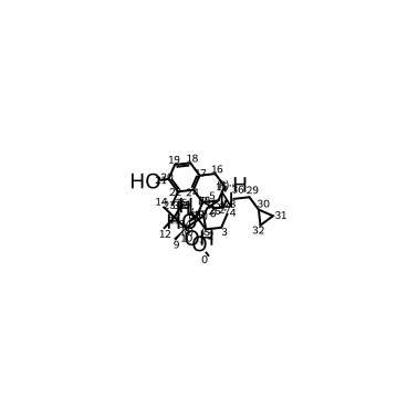 CO[C@@]12CC[C@@]3(C[C@@H]1[C@](C)(O)C(C)(C)C)[C@H]1Cc4ccc(O)c(C)c4[C@@]3(CCN1CC1CC1)[C@H]2O